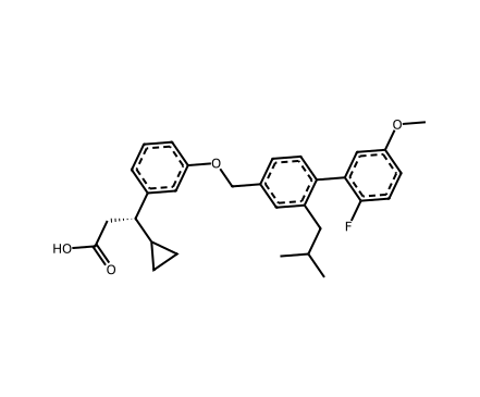 COc1ccc(F)c(-c2ccc(COc3cccc([C@@H](CC(=O)O)C4CC4)c3)cc2CC(C)C)c1